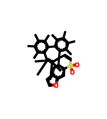 Cc1c(C)c(C)c2c(c1C)-c1c(C)c(C)c(C)c(C)c1C1(C=CS(=O)(=O)c3cc4occc4cc31)c1c(C)c(C)c(C)c(C)c1-2